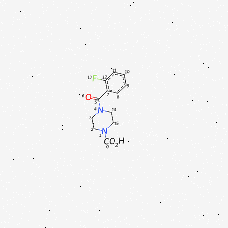 O=C(O)N1CCN(C(=O)c2ccccc2F)CC1